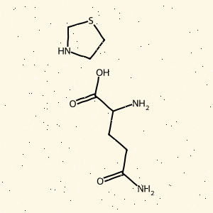 C1CSCN1.NC(=O)CCC(N)C(=O)O